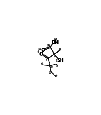 CCC(C)(C)C(=O)C(C)(S)C(=O)O